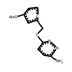 COc1cccc(CSc2ccc(N)nn2)c1